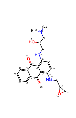 CCN(CC)CC(O)CNc1ccc(NCC2CO2)c2c1C(=O)c1ccccc1C2=O